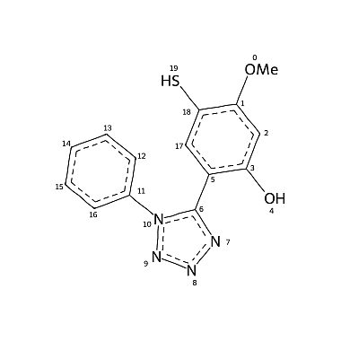 COc1cc(O)c(-c2nnnn2-c2ccccc2)cc1S